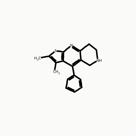 Cc1sc2nc3c(c(-c4ccccc4)c2c1C)CNCC3